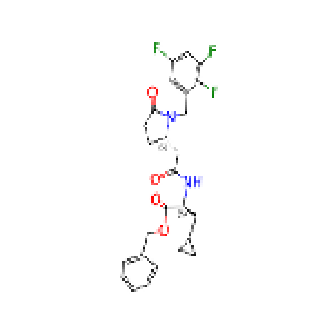 O=C(C[C@@H]1CCC(=O)N1Cc1cc(F)cc(F)c1F)N[C@@H](CC1CC1)C(=O)OCc1ccccc1